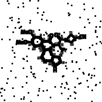 COc1cc2c(=O)n([C@@H](C(=O)N3CC(C#N)C3)C(C)C)c3c4cc[nH]c4ncc3c2cc1OC